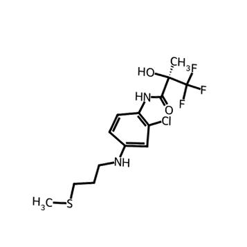 CSCCCNc1ccc(NC(=O)[C@@](C)(O)C(F)(F)F)c(Cl)c1